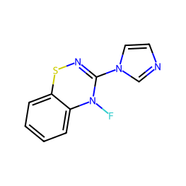 FN1C(n2ccnc2)=NSc2ccccc21